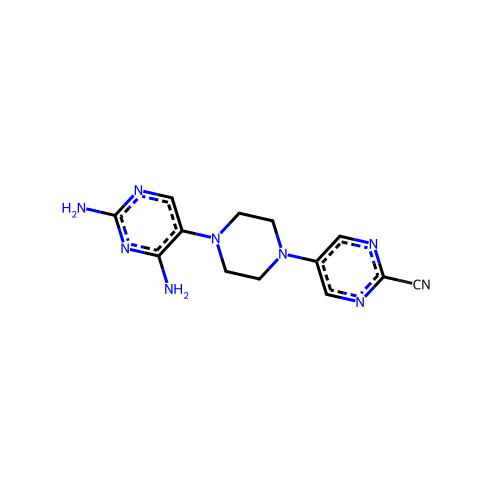 N#Cc1ncc(N2CCN(c3cnc(N)nc3N)CC2)cn1